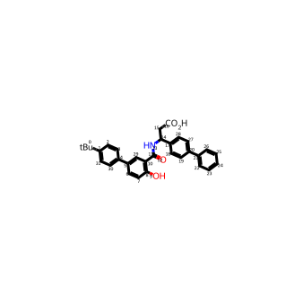 CC(C)(C)c1ccc(-c2ccc(O)c(C(=O)NC(CC(=O)O)c3ccc(-c4ccccc4)cc3)c2)cc1